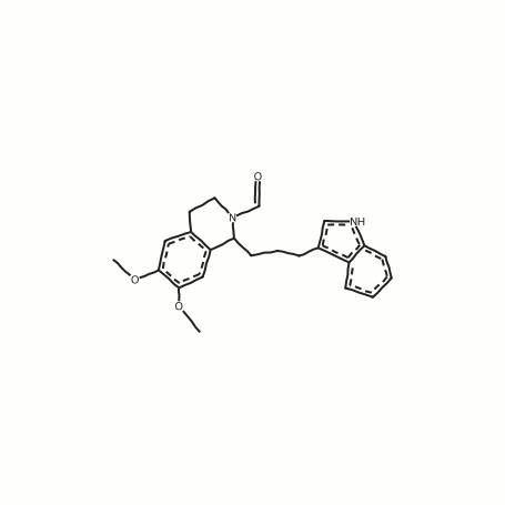 COc1cc2c(cc1OC)C(CCCc1c[nH]c3ccccc13)N(C=O)CC2